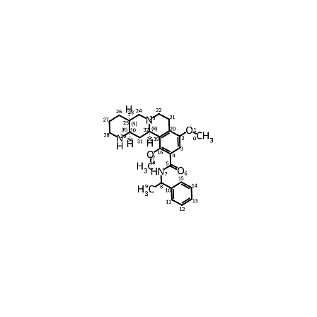 COc1cc(C(=O)NC(C)c2ccccc2)c(OC)c2c1CCN1C[C@@H]3CCCN[C@@H]3C[C@H]21